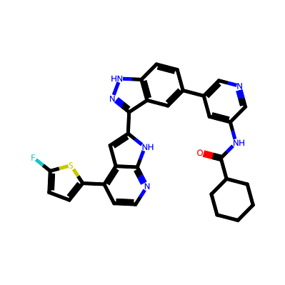 O=C(Nc1cncc(-c2ccc3[nH]nc(-c4cc5c(-c6ccc(F)s6)ccnc5[nH]4)c3c2)c1)C1CCCCC1